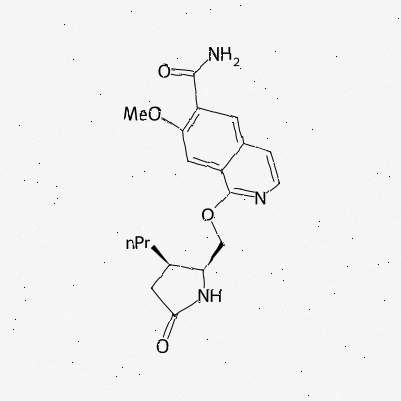 CCC[C@@H]1CC(=O)N[C@@H]1COc1nccc2cc(C(N)=O)c(OC)cc12